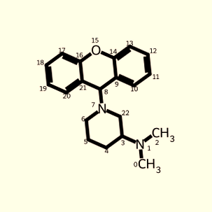 CN(C)C1CCCN(C2c3ccccc3Oc3ccccc32)C1